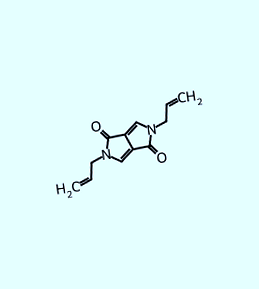 C=CCN1C=C2C(=O)N(CC=C)C=C2C1=O